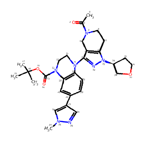 CC(=O)N1CCc2c(c(N3CCN(C(=O)OC(C)(C)C)c4cc(-c5cnn(C)c5)ccc43)nn2[C@H]2CCOC2)C1